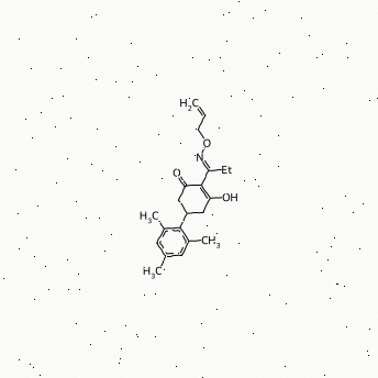 C=CCON=C(CC)C1=C(O)CC(c2c(C)cc(C)cc2C)CC1=O